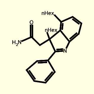 CCCCCCc1cccc2c1C(CCCCCC)(CC(N)=O)C(c1ccccc1)=N2